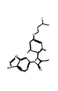 CC1C(=O)N(c2ccc3[nH]cnc3c2)C1c1c(F)cc(OCCC(F)F)cc1F